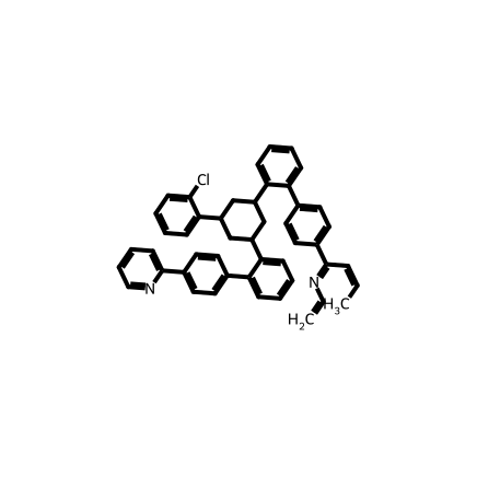 C=C/N=C(\C=C/C)c1ccc(-c2ccccc2C2CC(c3ccccc3Cl)CC(c3ccccc3-c3ccc(-c4ccccn4)cc3)C2)cc1